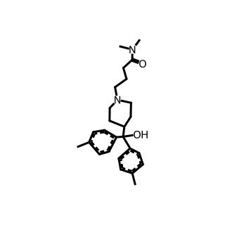 Cc1ccc(C(O)(c2ccc(C)cc2)C2CCN(CCCC(=O)N(C)C)CC2)cc1